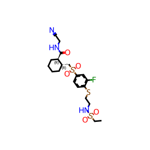 CCS(=O)(=O)NCCSc1ccc(S(=O)(=O)C[C@@H]2CCCC[C@H]2C(=O)NCC#N)cc1F